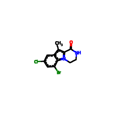 Cc1c2n(c3c(Br)cc(Cl)cc13)CCNC2=O